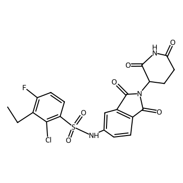 CCc1c(F)ccc(S(=O)(=O)Nc2ccc3c(c2)C(=O)N(C2CCC(=O)NC2=O)C3=O)c1Cl